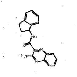 Nc1nc2ccccc2nc1C(=O)NC1CCc2ccccc21